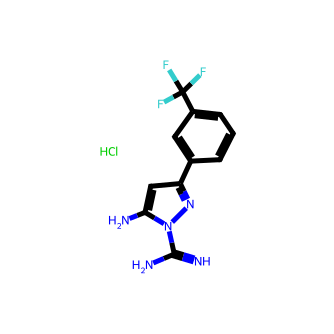 Cl.N=C(N)n1nc(-c2cccc(C(F)(F)F)c2)cc1N